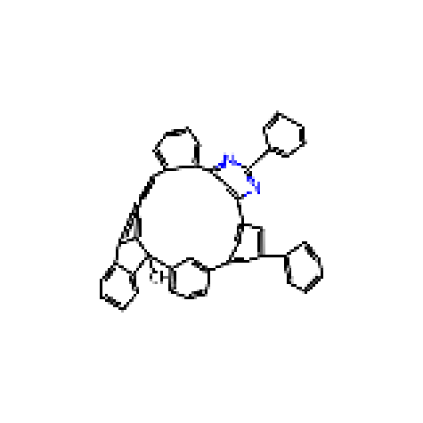 CC12c3cccc(c3)-c3cc(-c4ccccc4)cc(c3)-c3cc(nc(-c4ccccc4)n3)-c3ccccc3-c3ccc1c(c3)-c1ccccc12